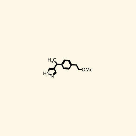 COCCc1ccc(C(C)c2cn[nH]c2)cc1